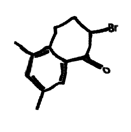 Cc1cc(C)c2c(c1)C(=O)C(Br)CC2